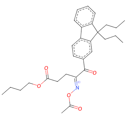 CCCCOC(=O)CC/C(=N\OC(C)=O)C(=O)c1ccc2c(c1)C(CCC)(CCC)c1ccccc1-2